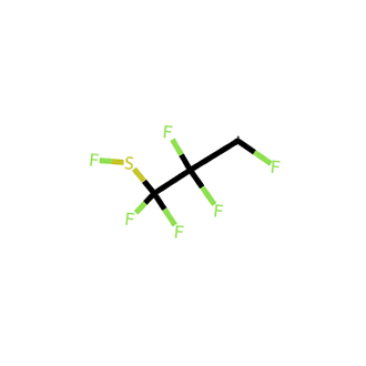 F[CH]C(F)(F)C(F)(F)SF